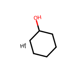 OC1CCCCC1.[Hf]